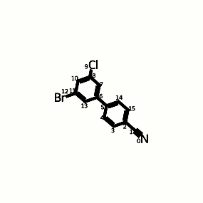 N#Cc1ccc(-c2cc(Cl)cc(Br)c2)cc1